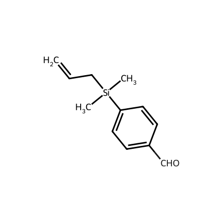 C=CC[Si](C)(C)c1ccc(C=O)cc1